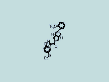 CCOc1ccc2nnc(C(=O)N3C[C@@H]4CN(c5ccccc5C(F)(F)F)C[C@@H]4C3)n2c1